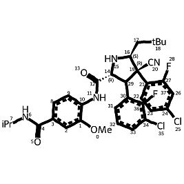 COc1cc(C(=O)NC(C)C)ccc1NC(=O)[C@@H]1N[C@@H](CC(C)(C)C)[C@](C#N)(c2ccc(Cl)cc2F)C1c1cccc(Cl)c1F